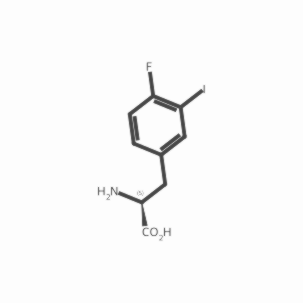 N[C@@H](Cc1ccc(F)c(I)c1)C(=O)O